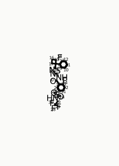 O=C(Nc1nnc(C2(c3ccccc3F)CCC2)s1)c1cc(S(=O)(=O)NCC(F)(F)F)ccc1F